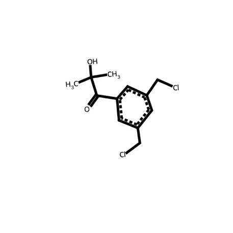 CC(C)(O)C(=O)c1cc(CCl)cc(CCl)c1